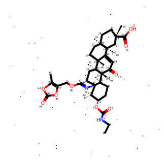 CCNC(=O)O[C@H]1CC[C@]2(C)[C@H]3C(=O)C=C4[C@@H]5C[C@@](C)(C(=O)O)CC[C@]5(C)CC[C@@]4(C)[C@]3(C)CC[C@@]2(/N=C/OCc2oc(=O)oc2C)[C@H]1C